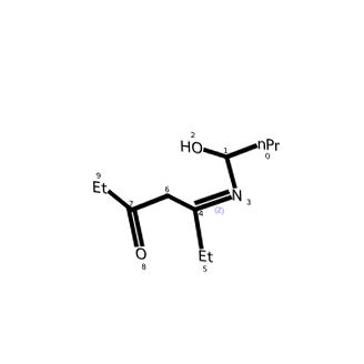 CCCC(O)/N=C(/CC)CC(=O)CC